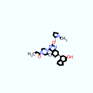 C=CC(=O)N1CCN(c2nc(OC[C@@H]3CCCN3C)nc3c2CC[C@H](C2CC(O)=Cc4ccccc42)C3)[C@@H](C)C1